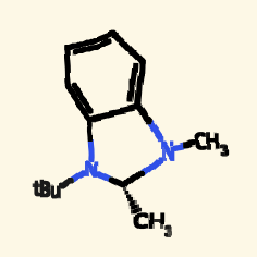 C[C@H]1N(C)c2ccccc2N1C(C)(C)C